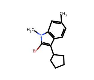 Cc1ccc2c(C3CCCC3)c(Br)n(C)c2c1